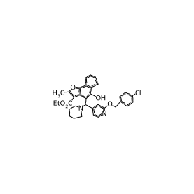 CCOC(=O)c1c(C)oc2c1c(C(c1ccnc(OCc3ccc(Cl)cc3)c1)N1CCCCC1)c(O)c1ccccc12